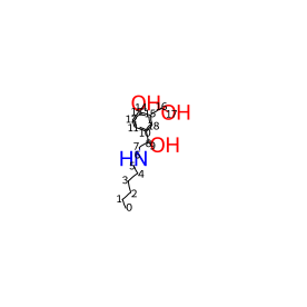 CCCCCCNCC(O)c1ccc(O)c(CO)c1